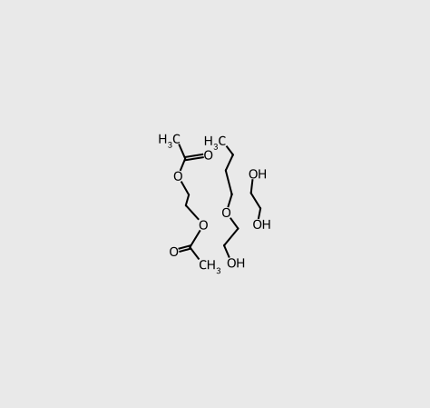 CC(=O)OCCOC(C)=O.CCCCOCCO.OCCO